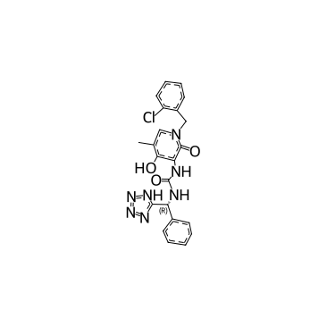 Cc1cn(Cc2ccccc2Cl)c(=O)c(NC(=O)N[C@H](c2ccccc2)c2nnn[nH]2)c1O